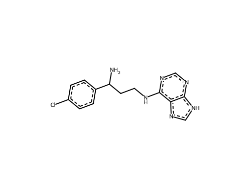 NC(CCNc1ncnc2[nH]cnc12)c1ccc(Cl)cc1